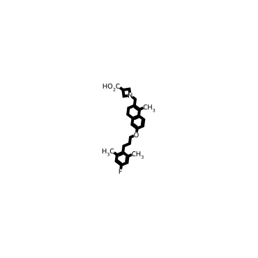 CC1=C(CN2CC(C(=O)O)C2)CCc2cc(OCCCc3c(C)cc(F)cc3C)ccc21